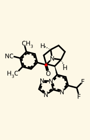 Cc1cc(C(=O)N2[C@H]3CC[C@H](c4cc(C(F)F)nc5ncnn45)[C@@H]2CC3)cc(C)c1C#N